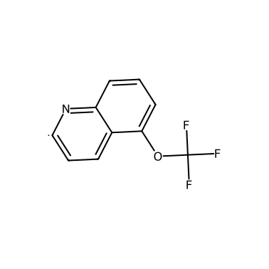 FC(F)(F)Oc1cccc2n[c]ccc12